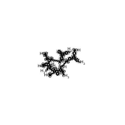 CCCN1/C(=C/C=C/C2=[N+](CCCS(=O)(=O)O)c3c(cc(-c4cc(C(=O)NCC)nc(C(=O)NCCCCCC(=O)NC5CCN(c6nc(N7CCC(N)CC7)nc(N7CCC(C(=O)O)CC7)n6)CC5)c4)c4ccccc34)C2(C)C)C(C)(C)c2cc(-c3cc(C(=O)NCCCCCC(=O)NC4CCN(c5nc(N6CCCCC6)nc(N6CCC(N)CC6)n5)CC4)nc(C(=O)NCCS(=O)(=O)O)c3)c3ccc(S(=O)(=O)O)cc3c21